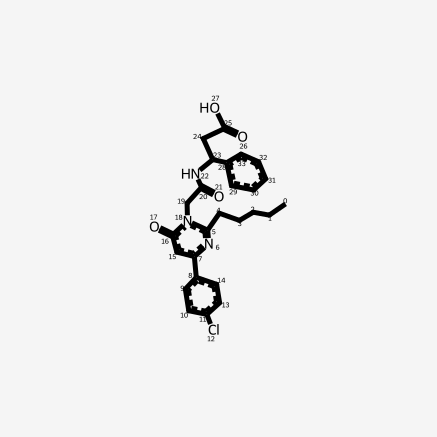 CCCCCc1nc(-c2ccc(Cl)cc2)cc(=O)n1CC(=O)NC(CC(=O)O)c1ccccc1